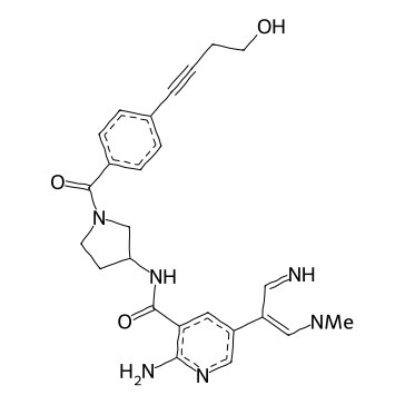 CN/C=C(\C=N)c1cnc(N)c(C(=O)NC2CCN(C(=O)c3ccc(C#CCCO)cc3)C2)c1